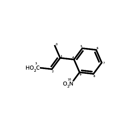 CC(=CC(=O)O)c1ccccc1[N+](=O)[O-]